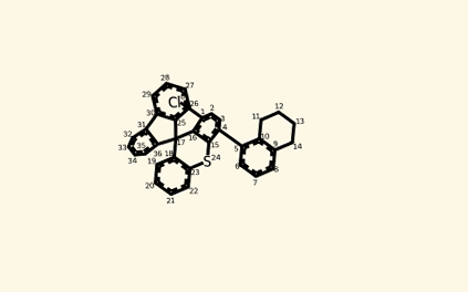 Clc1ccc(-c2cccc3c2CCCC3)c2c1C1(c3ccccc3S2)c2ccccc2-c2ccccc21